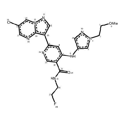 COCCn1cc(Nc2cc(-c3cnn4cc(Cl)cnc34)ncc2C(=O)NCCF)cn1